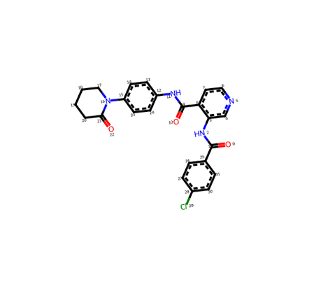 O=C(Nc1cnccc1C(=O)Nc1ccc(N2CCCCC2=O)cc1)c1ccc(Cl)cc1